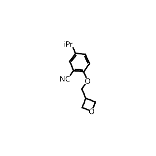 CC(C)c1ccc(OCC2COC2)c(C#N)c1